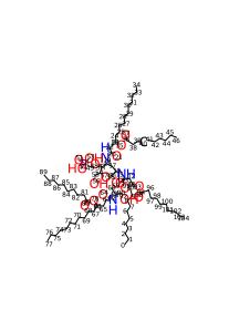 CCCCCCCCCCC[C@H](CC(=O)NC1CC(NC(=O)C[C@@H](CCCCCCCCCCC)OC(=O)CCCCCCCCC)[C@H](OCP(=O)(O)O)C(CO)O[C@H]1OC[C@H](NC(=O)C[C@@H](CCCCCCCCCCC)OC(=O)CCCCCCCCC)C(=O)O)OC(=O)CCCCCCCCC